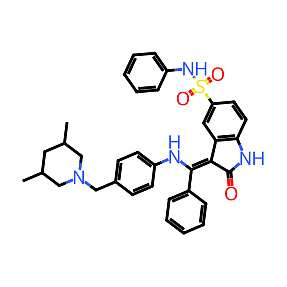 CC1CC(C)CN(Cc2ccc(NC(=C3C(=O)Nc4ccc(S(=O)(=O)Nc5ccccc5)cc43)c3ccccc3)cc2)C1